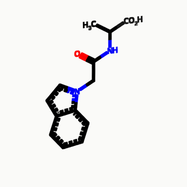 CC(NC(=O)Cn1ccc2ccccc21)C(=O)O